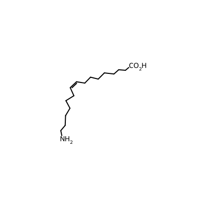 NCCCCCC/C=C\CCCCCCCC(=O)O